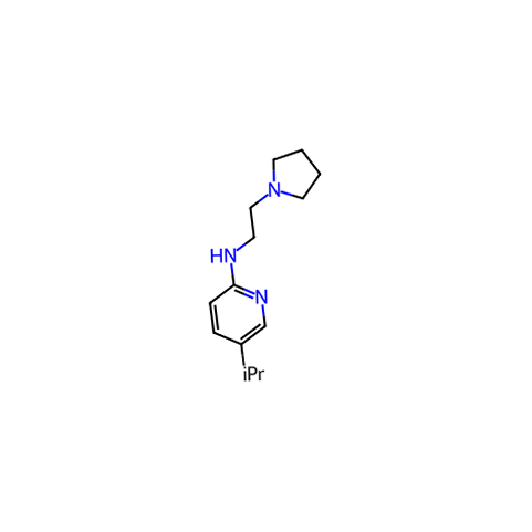 CC(C)c1ccc(NCCN2CCCC2)nc1